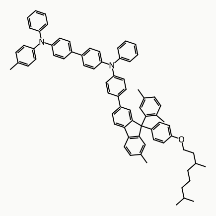 Cc1ccc(N(c2ccccc2)c2ccc(-c3ccc(N(c4ccccc4)c4ccc(-c5ccc6c(c5)C(c5ccc(OCCC(C)CCCC(C)C)cc5)(c5cc(C)ccc5C)c5cc(C)ccc5-6)cc4)cc3)cc2)cc1